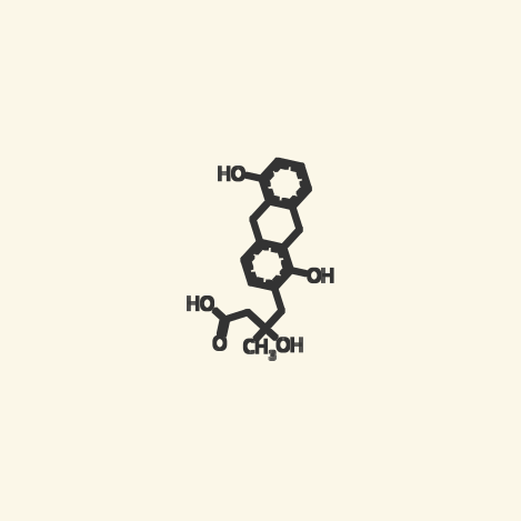 CC(O)(CC(=O)O)Cc1ccc2c(c1O)Cc1cccc(O)c1C2